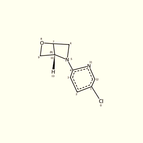 Clc1ccc(N2CC3OC[C@H]32)nc1